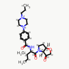 CCCN1CCN(c2ccc(C(=O)NC(C(=O)N3CC[C@H]4OCC(=O)[C@H]43)[C@@H](C)CC)cc2)CC1